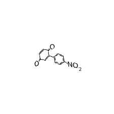 O=C1C=CC(=O)C(c2ccc([N+](=O)[O-])cc2)=C1